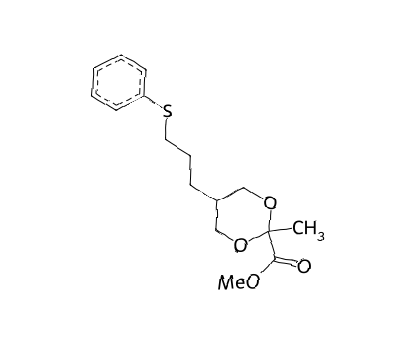 COC(=O)C1(C)OCC(CCCSc2ccccc2)CO1